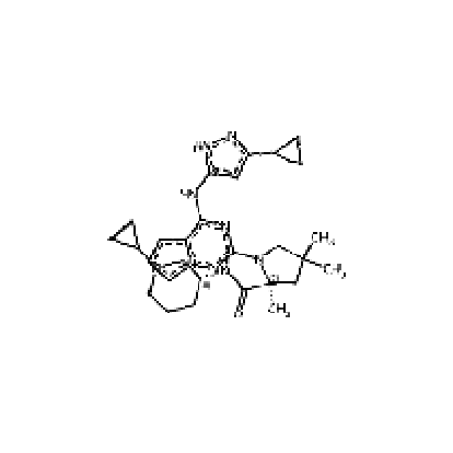 CC1(C)CN(c2nc(Nc3cc(C4CC4)n[nH]3)c3cccn3n2)[C@](C)(C(=O)N[C@@H]2CCCN(C3CC3)C2)C1